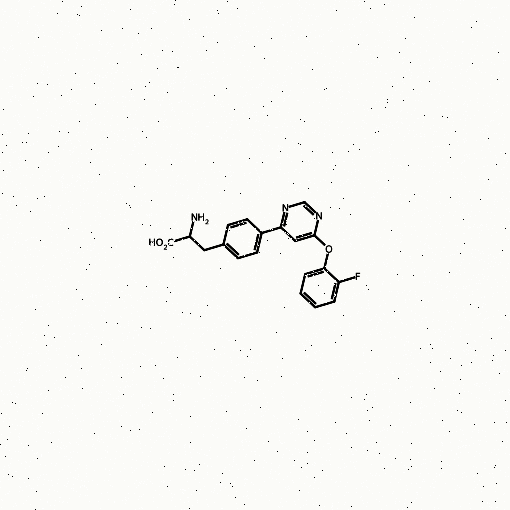 NC(Cc1ccc(-c2cc(Oc3ccccc3F)ncn2)cc1)C(=O)O